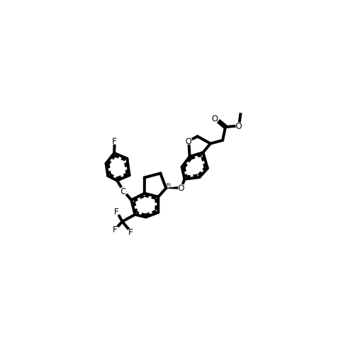 COC(=O)CC1COc2cc(O[C@@H]3CCc4c3ccc(C(F)(F)F)c4Cc3ccc(F)cc3)ccc21